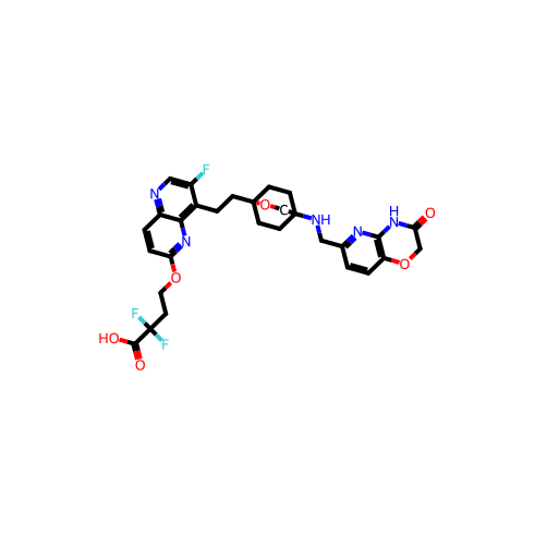 O=C1COc2ccc(CNC34CCC(CCc5c(F)cnc6ccc(OCCC(F)(F)C(=O)O)nc56)(CC3)OC4)nc2N1